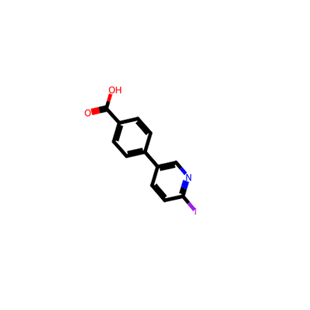 O=C(O)c1ccc(-c2ccc(I)nc2)cc1